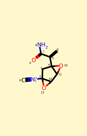 [C-]#[N+]C12CC3(C(=C)C(N)=O)OC3C1O2